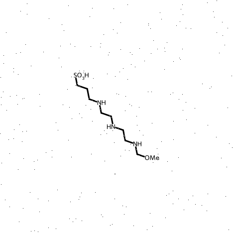 COCNCCNCCNCCCS(=O)(=O)O